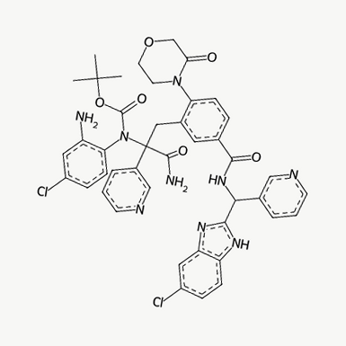 CC(C)(C)OC(=O)N(c1ccc(Cl)cc1N)C(Cc1cc(C(=O)NC(c2cccnc2)c2nc3cc(Cl)ccc3[nH]2)ccc1N1CCOCC1=O)(C(N)=O)c1cccnc1